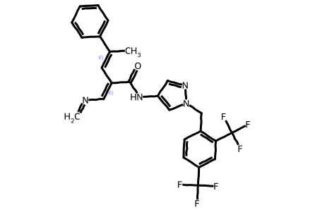 C=N/C=C(\C=C(/C)c1ccccc1)C(=O)Nc1cnn(Cc2ccc(C(F)(F)F)cc2C(F)(F)F)c1